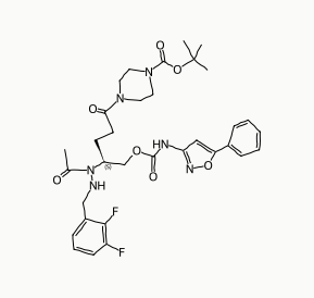 CC(=O)N(NCc1cccc(F)c1F)[C@@H](CCC(=O)N1CCN(C(=O)OC(C)(C)C)CC1)COC(=O)Nc1cc(-c2ccccc2)on1